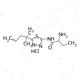 C=CCC(C)(C)c1nnc(NC(=O)C(N)CC)s1.Cl